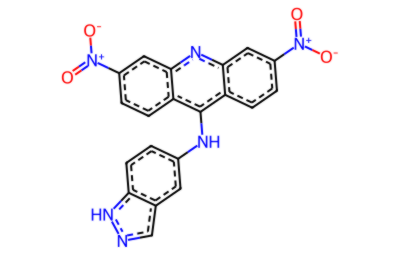 O=[N+]([O-])c1ccc2c(Nc3ccc4[nH]ncc4c3)c3ccc([N+](=O)[O-])cc3nc2c1